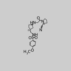 COc1ccc(S(=O)(=O)NC[C@H]2CC[C@@H](NCC(=O)N3CCC[C@H]3C#N)C2)cc1